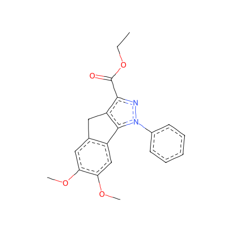 CCOC(=O)c1nn(-c2ccccc2)c2c1Cc1cc(OC)c(OC)cc1-2